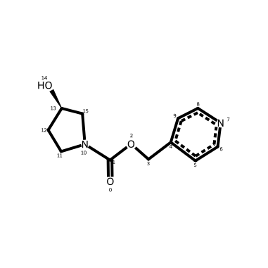 O=C(OCc1ccncc1)N1CC[C@@H](O)C1